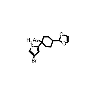 [AsH2]C1(c2cc(Br)cs2)CCC(C2OC=CO2)CC1